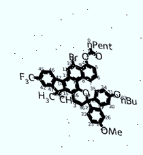 CCCCCC(=O)Oc1cccc2c1c(Br)cc1c3c(c4c(c12)OC(c1ccc(OC)cc1)(c1ccc(OCCCC)cc1)C=C4)C(C)(C)c1cc(C(F)(F)F)ccc1-3